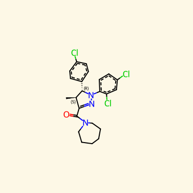 C[C@@H]1C(C(=O)N2CCCCCC2)=NN(c2ccc(Cl)cc2Cl)[C@H]1c1ccc(Cl)cc1